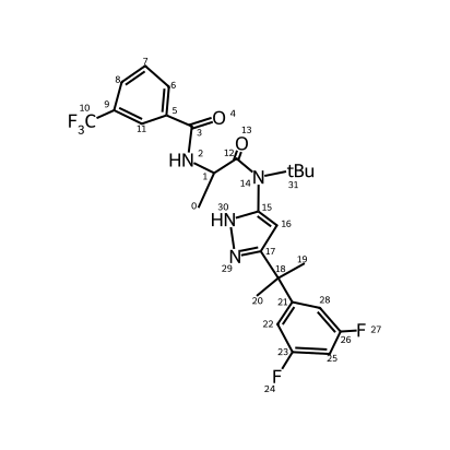 CC(NC(=O)c1cccc(C(F)(F)F)c1)C(=O)N(c1cc(C(C)(C)c2cc(F)cc(F)c2)n[nH]1)C(C)(C)C